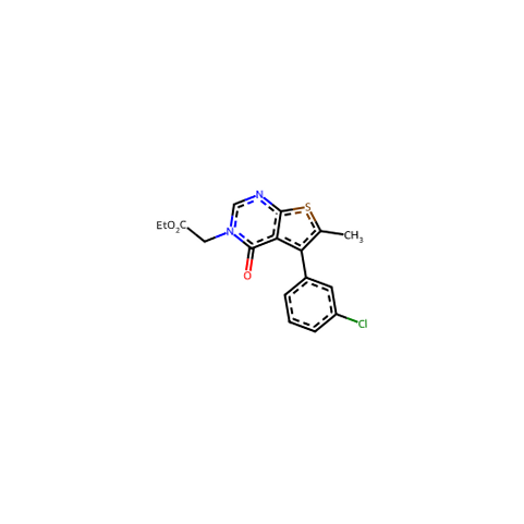 CCOC(=O)Cn1cnc2sc(C)c(-c3cccc(Cl)c3)c2c1=O